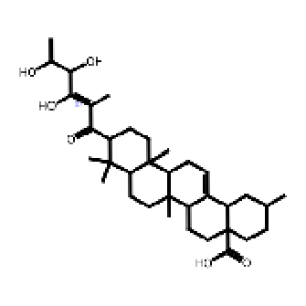 C/C(C(=O)C1CCC2(C)C(CCC3(C)C4CCC5(C(=O)O)CCC(C)CC5C4=CCC32)C1(C)C)=C(/O)C(O)C(C)O